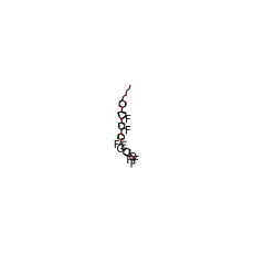 CCCCCc1ccc(-c2ccc(-c3ccc(-c4ccc(C(F)(F)Oc5ccc(OC(F)(F)F)cc5)cc4)c(F)c3)c(F)c2)cc1